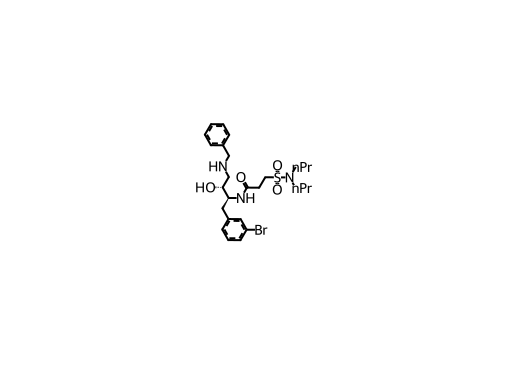 CCCN(CCC)S(=O)(=O)CCC(=O)N[C@@H](Cc1cccc(Br)c1)[C@H](O)CNCc1ccccc1